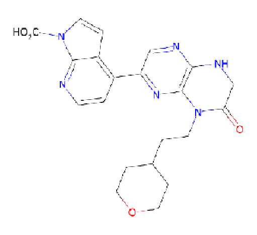 O=C1CNc2ncc(-c3ccnc4c3ccn4C(=O)O)nc2N1CCC1CCOCC1